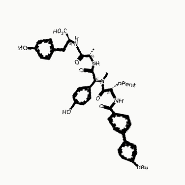 CCCCC[C@H](NC(=O)c1ccc(-c2ccc(CCCC)cc2)cc1)C(=O)N(C)[C@H](C(=O)N[C@@H](C)C(=O)N[C@@H](Cc1ccc(O)cc1)C(=O)O)c1ccc(O)cc1